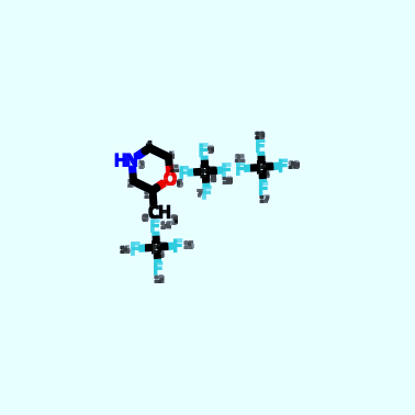 CC1CNCCO1.F[B-](F)(F)F.F[B-](F)(F)F.F[B-](F)(F)F